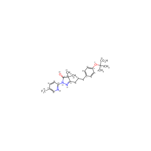 CC(C)(Oc1ccc(CCCC2=NN(c3ccc(C(F)(F)F)cn3)C(=O)C2(C)C)cc1)C(=O)O